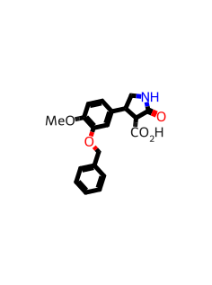 COc1ccc(C2CNC(=O)C2C(=O)O)cc1OCc1ccccc1